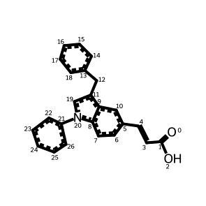 O=C(O)C=Cc1ccc2c(c1)c(Cc1ccccc1)cn2-c1ccccc1